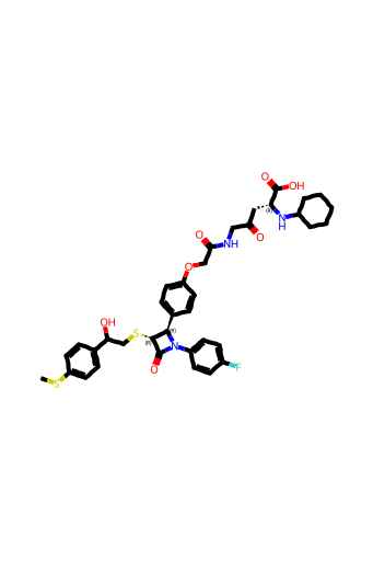 CSc1ccc(C(O)CS[C@H]2C(=O)N(c3ccc(F)cc3)[C@@H]2c2ccc(OCC(=O)NCC(=O)C[C@@H](NC3CCCCC3)C(=O)O)cc2)cc1